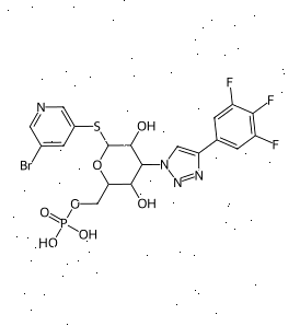 O=P(O)(O)OCC1OC(Sc2cncc(Br)c2)C(O)C(n2cc(-c3cc(F)c(F)c(F)c3)nn2)C1O